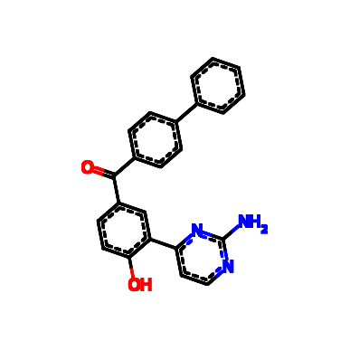 Nc1nccc(-c2cc(C(=O)c3ccc(-c4ccccc4)cc3)ccc2O)n1